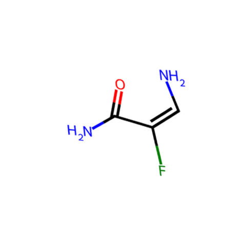 N/C=C(/F)C(N)=O